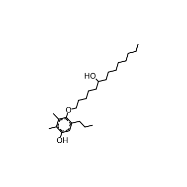 CCCCCCCCC(O)CCCCCOc1c(CCC)cc(O)c(C)c1C